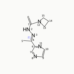 C=C(N/N=C(\C)c1cnccn1)N1CCC1